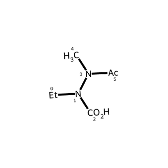 CCN(C(=O)O)N(C)C(C)=O